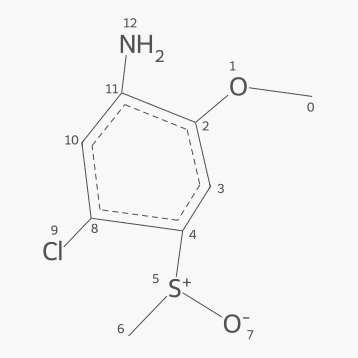 COc1cc([S+](C)[O-])c(Cl)cc1N